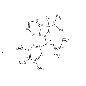 CCC(COC(=O)c1cc(OC)c(OC)c(OC)c1)(c1ccccc1)N(C)C.O=C(O)C=CC(=O)O